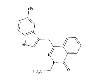 CCCc1ccc2[nH]cc(Cc3nn(CC(=O)O)c(=O)c4ccccc34)c2c1